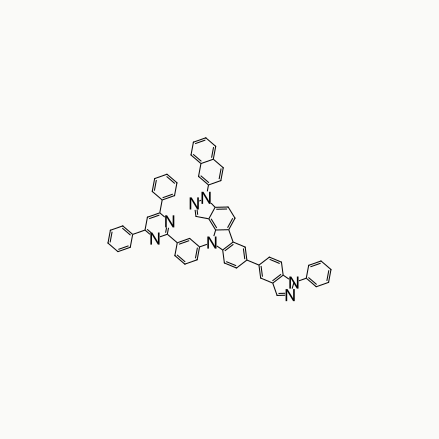 c1ccc(-c2cc(-c3ccccc3)nc(-c3cccc(-n4c5ccc(-c6ccc7c(cnn7-c7ccccc7)c6)cc5c5ccc6c(cnn6-c6ccc7ccccc7c6)c54)c3)n2)cc1